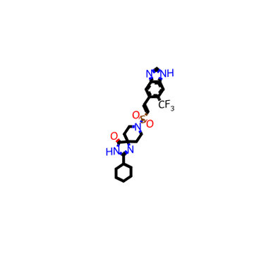 O=C1NC(C2CCCCC2)=NC12CCN(S(=O)(=O)/C=C/c1cc3nc[nH]c3cc1C(F)(F)F)CC2